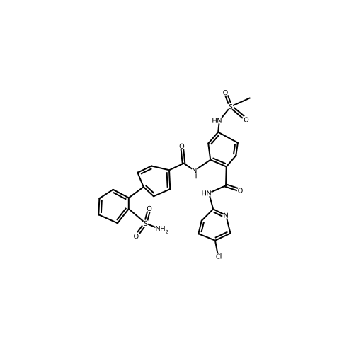 CS(=O)(=O)Nc1ccc(C(=O)Nc2ccc(Cl)cn2)c(NC(=O)c2ccc(-c3ccccc3S(N)(=O)=O)cc2)c1